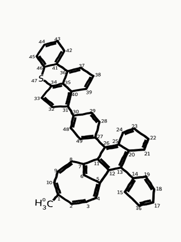 Cc1cccc2cc(ccc1)-c1c-2c(-c2ccccc2)c2ccccc2c1-c1ccc(-c2ccc3c4c(cccc24)-c2ccccc2S3)cc1